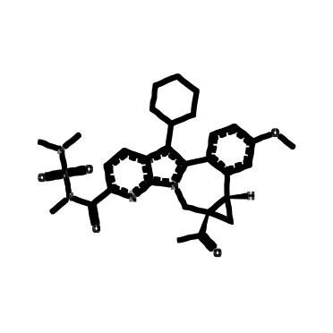 COc1ccc2c(c1)[C@@H]1C[C@]1(C(C)=O)Cn1c-2c(C2CCCCC2)c2ccc(C(=O)N(C)S(=O)(=O)N(C)C)nc21